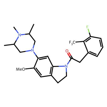 COc1cc2c(cc1N1CC(C)N(C)C(C)C1)N(C(=O)Cc1cccc(F)c1C(F)(F)F)CC2